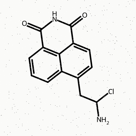 NC(Cl)Cc1ccc2c3c(cccc13)C(=O)NC2=O